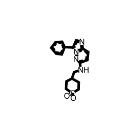 O=S1(=O)CCC(CNc2ccc3ncc(-c4ccccc4)n3n2)CC1